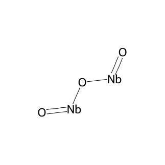 [O]=[Nb][O][Nb]=[O]